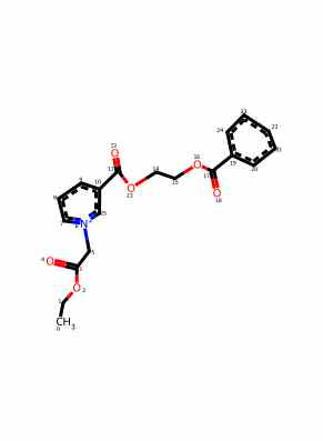 CCOC(=O)C[n+]1cccc(C(=O)OCCOC(=O)c2ccccc2)c1